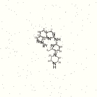 Cc1nc(Nc2ncc3ccc4cnn(C(C)C)c4c3n2)ccc1N1CCNCC1